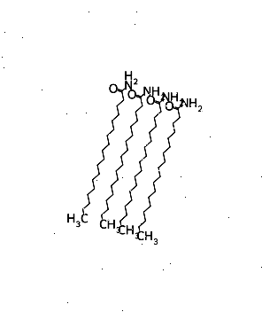 CCCCCCCCCCCCCCCCCC(N)=O.CCCCCCCCCCCCCCCCCC(N)=O.CCCCCCCCCCCCCCCCCC(N)=O.CCCCCCCCCCCCCCCCCC(N)=O